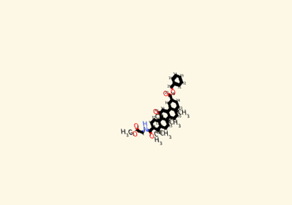 COC(=O)CNC(=O)C1CCC2(C)C(CCC3(C)C4CCC5(C)CCC(C(=O)OCc6ccccc6)CC5C4=CC(=O)C32)C1(C)C